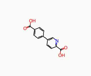 O=C(O)c1ccc(-c2ccc(C(=O)O)nc2)cc1